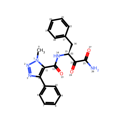 Cn1nnc(-c2ccccc2)c1C(=O)N[C@@H](Cc1ccccc1)C(=O)C(N)=O